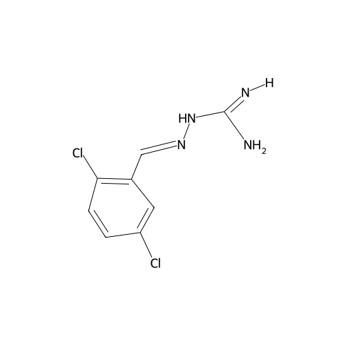 [H]/N=C(\N)NN=Cc1cc(Cl)ccc1Cl